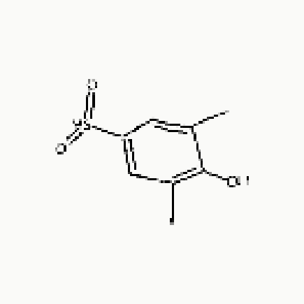 Cc1cc([SH](=O)=O)cc(C)c1O